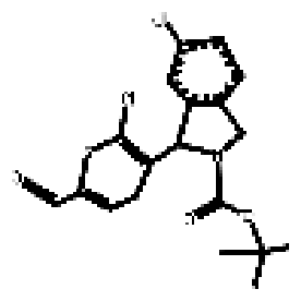 CC(C)(C)OC(=O)N1Cc2ccc(Cl)cc2C1C1=C(Cl)SC(C=O)=CC1